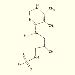 CCS(=O)(=O)NCC(C)CN(C)C1=NCNC(C)=C1C